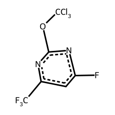 Fc1cc(C(F)(F)F)nc(OC(Cl)(Cl)Cl)n1